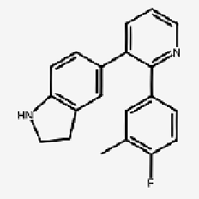 Cc1cc(-c2ncccc2-c2ccc3c(c2)CCN3)ccc1F